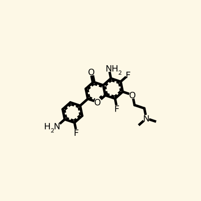 CN(C)CCOc1c(F)c(N)c2c(=O)cc(-c3ccc(N)c(F)c3)oc2c1F